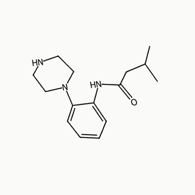 CC(C)CC(=O)Nc1ccccc1N1CCNCC1